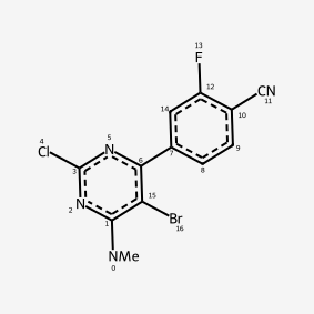 CNc1nc(Cl)nc(-c2ccc(C#N)c(F)c2)c1Br